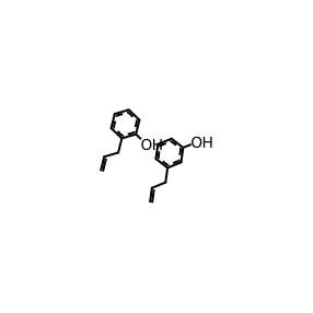 C=CCc1cccc(O)c1.C=CCc1ccccc1O